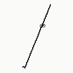 CCCCCCCCC=CCCCCCCCCCC(=O)OCCCCCCCCCCCCCCCCCCCCCCCCCCCCCCCCCCCCCC(C)CC